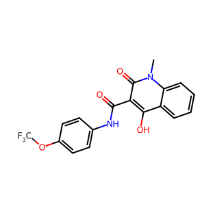 Cn1c(=O)c(C(=O)Nc2ccc(OC(F)(F)F)cc2)c(O)c2ccccc21